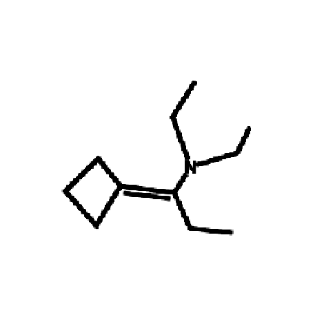 CCC(=C1CCC1)N(CC)CC